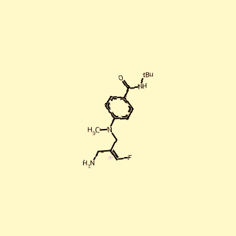 CN(C/C(=C\F)CN)c1ccc(C(=O)NC(C)(C)C)cc1